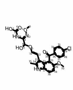 CON=C(NC(=O)O)C(O)OC=Cc1c(C)[nH]c2ccc(OC)c(C(=O)c3ccc(Cl)cc3)c12